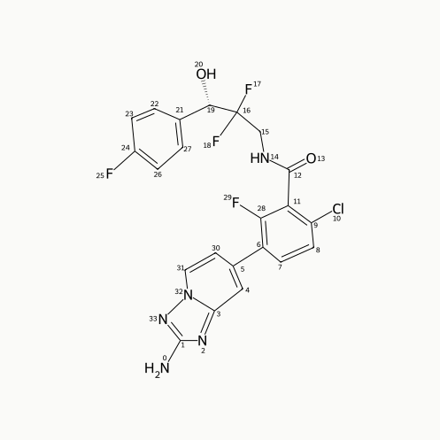 Nc1nc2cc(-c3ccc(Cl)c(C(=O)NCC(F)(F)[C@@H](O)c4ccc(F)cc4)c3F)ccn2n1